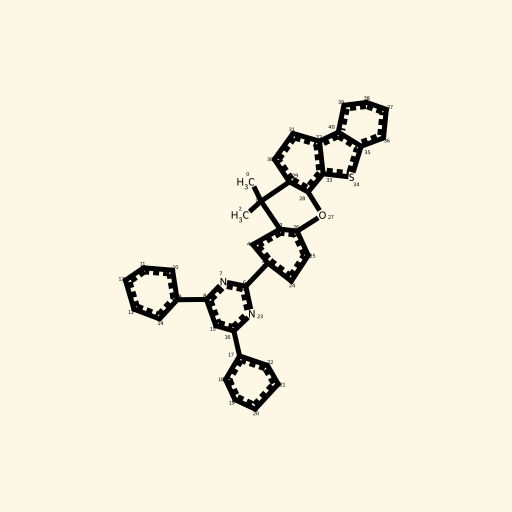 CC1(C)c2cc(-c3nc(-c4ccccc4)cc(-c4ccccc4)n3)ccc2Oc2c1ccc1c2sc2ccccc21